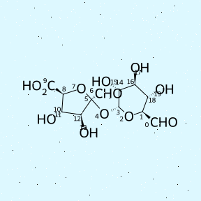 O=C[C@H]1O[C@H](O[C@]2(C=O)O[C@H](C(=O)O)[C@@H](O)[C@@H]2O)[C@H](O)[C@@H](O)[C@@H]1O